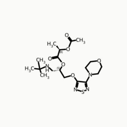 CC(=O)O[C@H](C)C(=O)O[C@@H](CNC(C)(C)C)COc1nsnc1N1CCOCC1